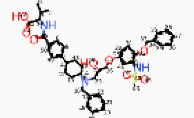 CC(C)[C@H](NC(=O)c1ccc(C2CCC(N(Cc3ccccc3)C[C@H](O)COc3ccc(OCc4ccccc4)c(NS(C)(=O)=O)c3)CC2)cc1)C(=O)O